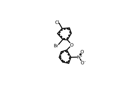 O=[N+]([O-])c1ccccc1Oc1ccc(Cl)cc1Br